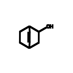 OC1CC2C=CC1CC2